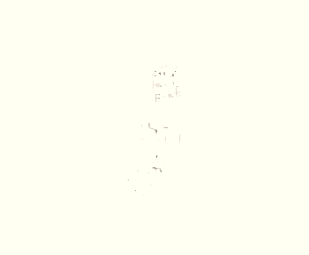 CCC(C)(COC(=O)C1CCCCC1)C(=O)OCCC(F)(F)C(F)(F)C(F)(F)C(F)(F)F